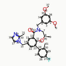 COc1cc(CN2C[C@@H](C)Oc3c(cc(Cn4ccnc4C)cc3-c3ccc(F)cc3C)C2=O)cc(OC)c1